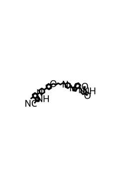 Cc1ccc(N2CCC(c3ccc(OCCCCN4CCC(n5ccc6c(N7CCC(=O)NC7=O)cccc65)CC4)cc3)CC2)c2[nH]cc(C#N)c12